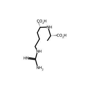 C[C@H](N[C@H](CCCNC(=N)N)C(=O)O)C(=O)O